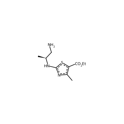 CCOC(=O)c1sc(N[C@@H](C)CN)nc1C